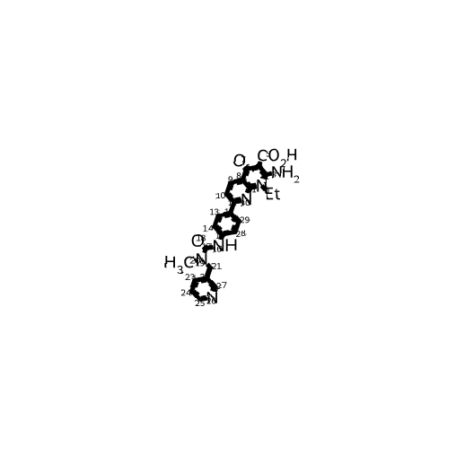 CCn1c(N)c(C(=O)O)c(=O)c2ccc(-c3ccc(NC(=O)N(C)Cc4cccnc4)cc3)nc21